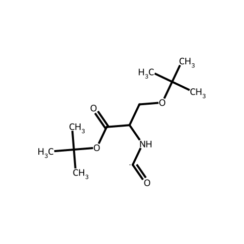 CC(C)(C)OCC(N[C]=O)C(=O)OC(C)(C)C